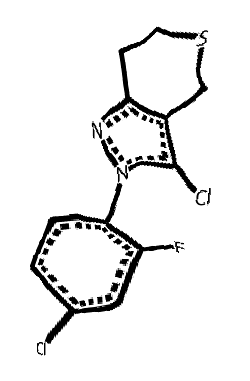 Fc1cc(Cl)ccc1-n1nc2c(c1Cl)CSCC2